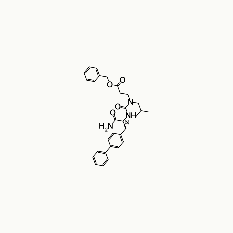 CC(C)CN(CCC(=O)OCc1ccccc1)C(=O)N[C@@H](Cc1ccc(-c2ccccc2)cc1)C(N)=O